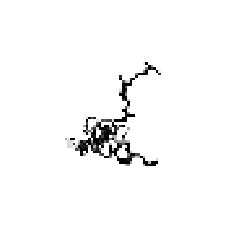 C=CCc1ccc(OC(=O)NC(C(=O)OCC=C(C)CCC=C(C)CCC=C(C)C)C(C)C)c(OC)c1